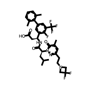 Cc1cccc(C)c1-c1cc([C@H](CC(=O)O)NC(=O)[C@H](CC(C)C)n2nc(CCN3CC(F)(F)C3)cc(C)c2=O)c(F)c(C(F)(F)F)c1